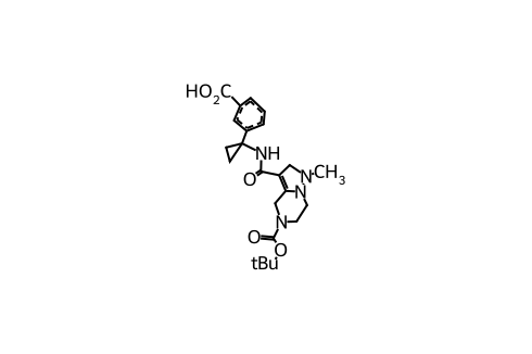 CN1CC(C(=O)NC2(c3cccc(C(=O)O)c3)CC2)=C2CN(C(=O)OC(C)(C)C)CCN21